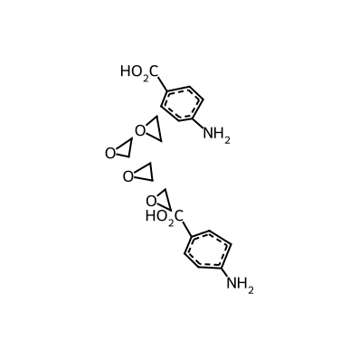 C1CO1.C1CO1.C1CO1.C1CO1.Nc1ccc(C(=O)O)cc1.Nc1ccc(C(=O)O)cc1